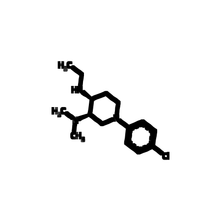 CCN[C@H]1CCN(c2ccc(Cl)cc2)C[C@H]1N(C)C